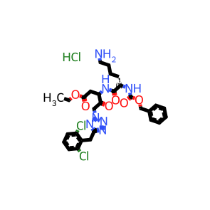 CCOC(=O)CC(NC(=O)[C@H](CCCCN)NC(=O)OCc1ccccc1)C(=O)Cn1nnc(Cc2c(Cl)cccc2Cl)n1.Cl